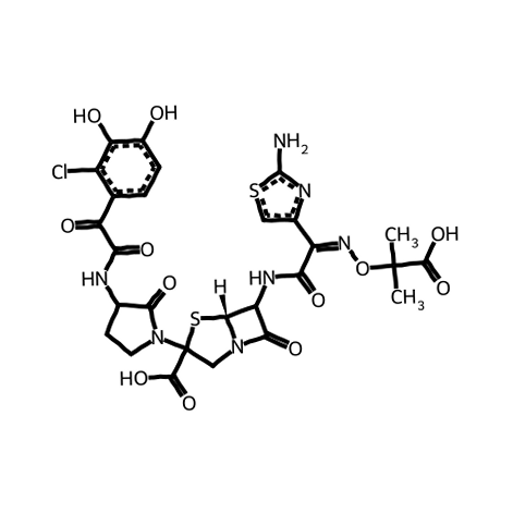 CC(C)(O/N=C(\C(=O)NC1C(=O)N2CC(C(=O)O)(N3CCC(NC(=O)C(=O)c4ccc(O)c(O)c4Cl)C3=O)S[C@H]12)c1csc(N)n1)C(=O)O